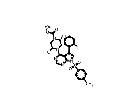 Cc1ccc(S(=O)(=O)n2cc(-c3ccccc3F)c3c(N4C[C@H](C)N(C(=O)OC(C)(C)C)CC4C)ncnc32)cc1